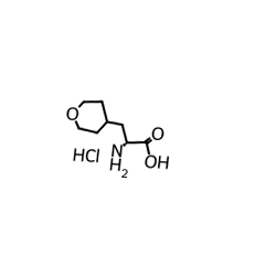 Cl.N[C@@H](CC1CCOCC1)C(=O)O